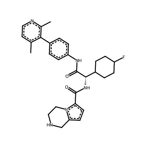 Cc1ccnc(C)c1-c1ccc(NC(=O)[C@@H](NC(=O)c2ccc3n2CCNC3)C2CCC(F)CC2)cc1